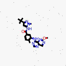 COc1ncc2ncnc(Nc3cc(C(=O)Nc4cc(C(C)(C)C)nn4C)ccc3C)c2n1